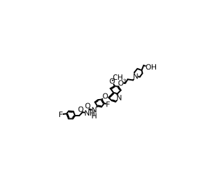 COc1cc2c(Oc3ccc(NC(=O)NC(=O)Cc4ccc(F)cc4)cc3F)ccnc2cc1OCCCN1CCC(CO)CC1